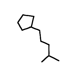 CC(C)CCC[C]1CCCC1